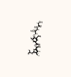 CCc1cc(-c2nnc(-c3cc(C)c(CC(C)C)s3)o2)cc(C)c1OC[C@H](O)CNC(=O)CO